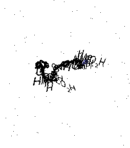 CNC(C(=O)N[C@H](C(=O)N(C)[C@H](/C=C(\C)C(=O)O)C(C)C)C(C)(C)C)C(C)(C)c1ccc(CNC(=O)OCc2ccc(NC(=O)[C@H](CCC(=O)O)NC(=O)[C@@H](NC(=O)CCC(=O)N3Cc4ccccc4C#Cc4ccccc43)C(C)C)cc2)cc1